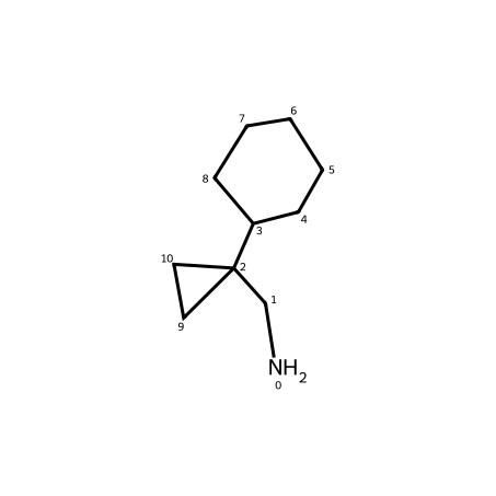 NCC1(C2CCCCC2)CC1